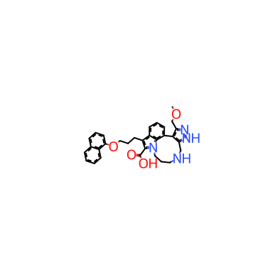 COCc1n[nH]c2c1-c1cccc3c(CCCOc4cccc5ccccc45)c(C(=O)O)n(c13)CCCNC2